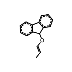 CC=COC1c2ccccc2-c2ccccc21